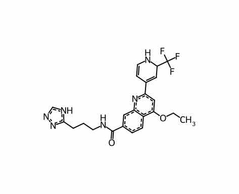 CCOc1cc(C2=CC(C(F)(F)F)NC=C2)nc2cc(C(=O)NCCCc3nnc[nH]3)ccc12